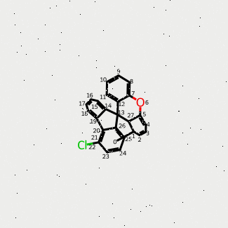 CC1C=CC=C2Oc3ccccc3C3(c4ccccc4-c4c(Cl)cccc43)C21